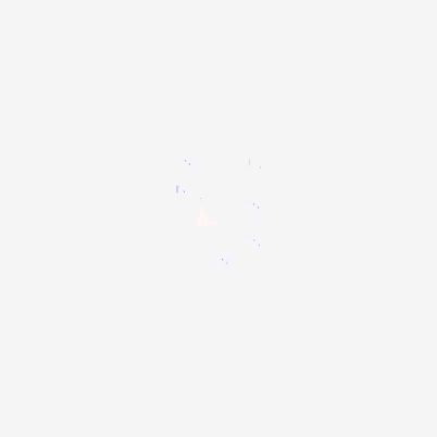 CC(=N)/C(C)=C1\C(=N)Oc2c(NC3CCC3)ncnc21